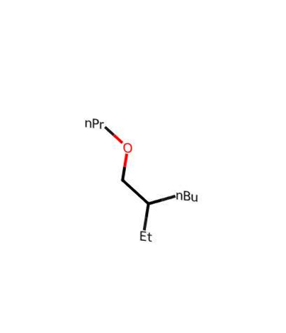 [CH2]CCOCC(CC)CCCC